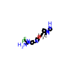 Cc1nn(C2CCCNC2)c2cccc(C#CCOC3CCN(CC4CCC(n5cc(N)c(C(F)F)n5)CC4)CC3)c12